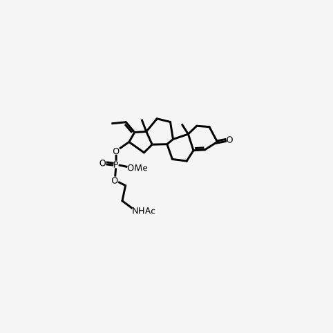 CC=C1C(OP(=O)(OC)OCCNC(C)=O)CC2C3CCC4=CC(=O)CCC4(C)C3CCC12C